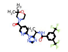 CC(NC(=O)c1cc(C(F)(F)F)cc(C(F)(F)F)c1)c1ncnn1-c1ccc(C(=O)N2CCOC(C)(C)C2)cn1